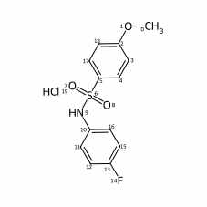 COc1ccc(S(=O)(=O)Nc2ccc(F)cc2)cc1.Cl